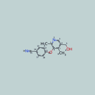 Cc1ncc(CO)c(C)c1Oc1ccc(C#N)cc1